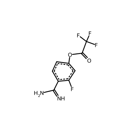 N=C(N)c1ccc(OC(=O)C(F)(F)F)cc1F